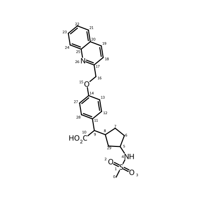 CS(=O)(=O)NC1CCC(C(C(=O)O)c2ccc(OCc3ccc4ccccc4n3)cc2)C1